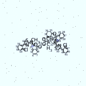 CN(/N=C/c1ccccc1C(=O)OCOC(=O)C(C)(C)CCN(/N=C/c1ccccc1C(=O)OC1CCCCC1)c1nc(-c2ccccc2Cl)cs1)c1nc(-c2ccccc2Cl)cs1